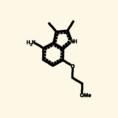 COCCOc1ccc(N)c2c(C)c(C)[nH]c12